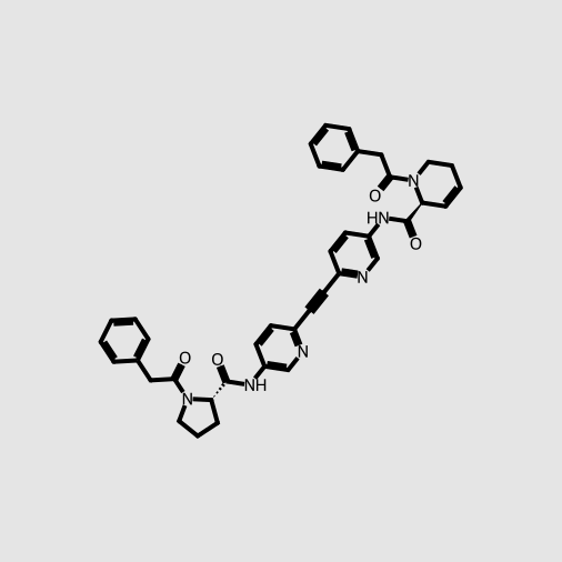 O=C(Nc1ccc(C#Cc2ccc(NC(=O)[C@@H]3CCCN3C(=O)Cc3ccccc3)cn2)nc1)[C@@H]1C=CCCN1C(=O)Cc1ccccc1